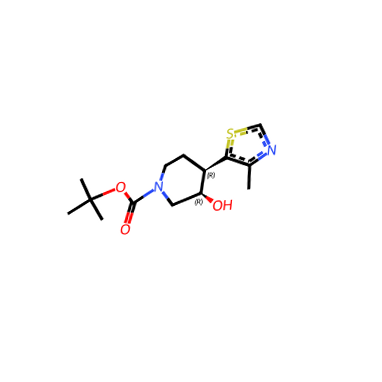 Cc1ncsc1[C@@H]1CCN(C(=O)OC(C)(C)C)C[C@@H]1O